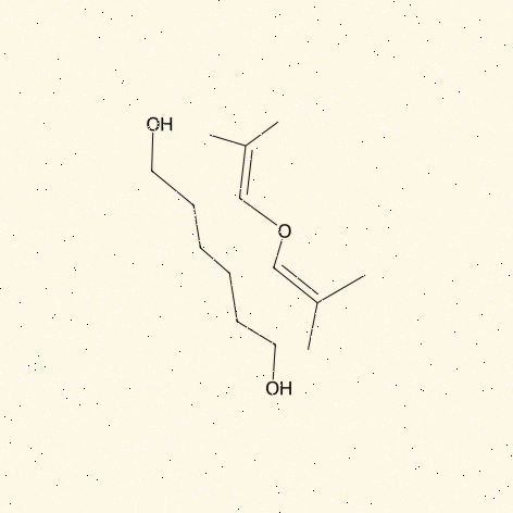 CC(C)=COC=C(C)C.OCCCCCCO